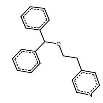 c1ccc(C(OCCc2ccncc2)c2ccccc2)cc1